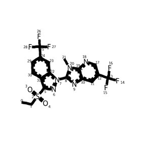 CCS(=O)(=O)c1nn(-c2nc3cc(C(F)(F)F)cnc3n2C)c2cc(C(F)(F)F)ccc12